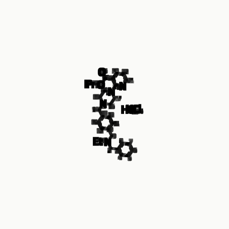 CCN(Cc1ccccc1)Cc1ccc(CN2CCN(c3ncccc3C(=O)OC(C)C)CC2)cc1.Cl.Cl